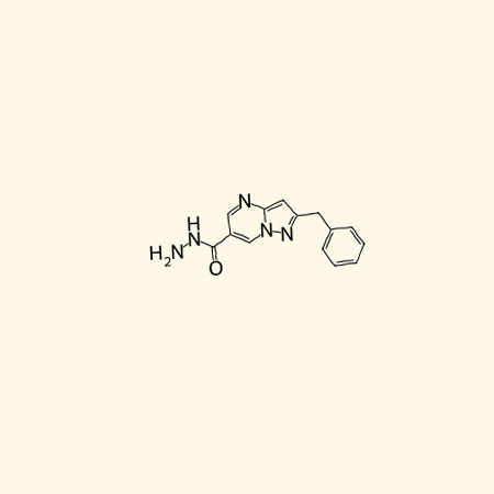 NNC(=O)c1cnc2cc(Cc3ccccc3)nn2c1